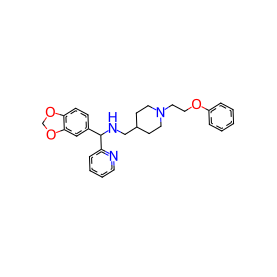 c1ccc(OCCN2CCC(CNC(c3ccc4c(c3)OCO4)c3ccccn3)CC2)cc1